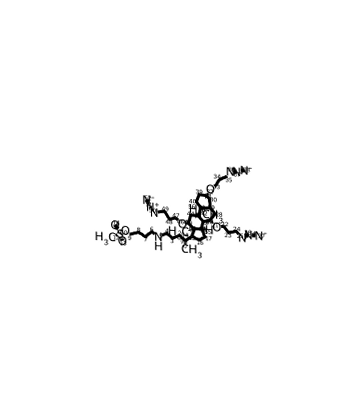 C[C@H](CCCNCCCCOS(C)(=O)=O)C1CC[C@H]2C3[C@H](OCCCN=[N+]=[N-])CC4C[C@H](OCCCN=[N+]=[N-])CC[C@]4(C)[C@H]3C[C@H](OCCCN=[N+]=[N-])[C@]12C